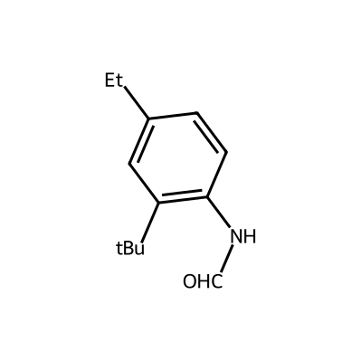 CCc1ccc(NC=O)c(C(C)(C)C)c1